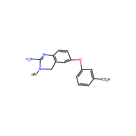 CCCN1Cc2cc(Oc3cccc(C(=O)O)c3)ccc2N=C1N